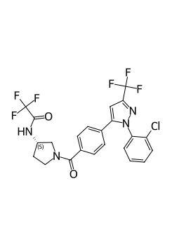 O=C(c1ccc(-c2cc(C(F)(F)F)nn2-c2ccccc2Cl)cc1)N1CC[C@H](NC(=O)C(F)(F)F)C1